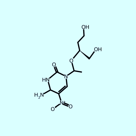 CC(O[C@H](CO)CCO)N1C=C([N+](=O)[O-])C(N)NC1=O